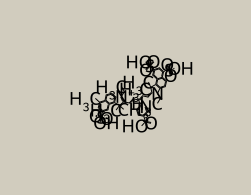 CCN1/C(=C/C=C(/C=C/C2=[N+](CC)c3ccc4c(C)cc(S(=O)(=O)O)cc4c3C2(C)C)c2ccc(C(=O)O)cn2)C(C)(C)c2c1ccc1c(S(=O)(=O)O)cc(S(=O)(=O)O)cc21